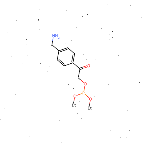 CCOP(OCC)OCC(=O)c1ccc(CN)cc1